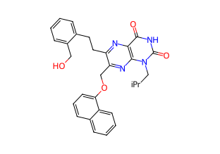 CC(C)Cn1c(=O)[nH]c(=O)c2nc(CCc3ccccc3CO)c(COc3cccc4ccccc34)nc21